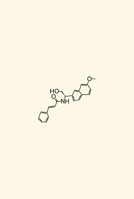 COc1ccc2ccc([C@H](CO)NC(=O)C=Cc3ccccc3)cc2c1